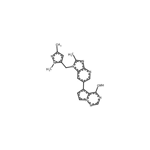 COc1ncnn2ccc(-c3cnc4nc(C)n(Cc5cc(C)nn5C)c4c3)c12